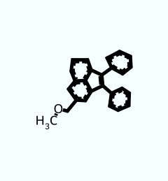 COCc1cc2c3c(cccc3c1)C(c1ccccc1)=C2c1ccccc1